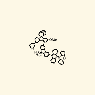 COc1cc(-c2ccc3c(c2)-c2cc(-c4c5ccccc5c(N5c6ccccc6Oc6ccccc65)c5ccccc45)ccc2C3(C)C)c2c(c1)C1(c3ccc(-c4cccnc4)cc3-2)C2CC3CC(C2)CC1C3